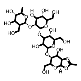 CC1=NC2C(O)[C@H](O[C@@H]3OC(CO)[C@@H](O)C(O[C@H]4OC(CO)[C@@H](O)C(O)[C@@H]4O[C@H]4OC(C)[C@@H](O)C(O)C4CO)C3O)C(CO)O[C@@H]2O1